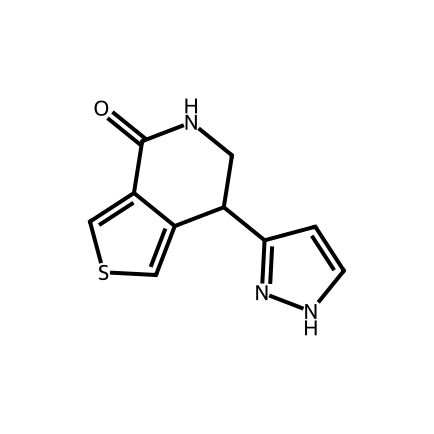 O=C1NCC(c2cc[nH]n2)c2cscc21